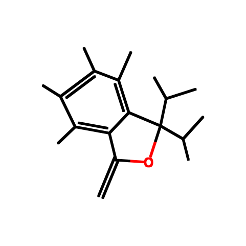 C=C1OC(C(C)C)(C(C)C)c2c(C)c(C)c(C)c(C)c21